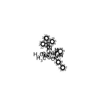 CON(C)C(=O)[C@H](Cc1cn(C(c2ccccc2)(c2ccccc2)c2ccccc2)cn1)NC[C@@H]1C[C@H]2CCCC[C@@H]2CN1C(=O)c1ccc(-c2ccccc2)cc1